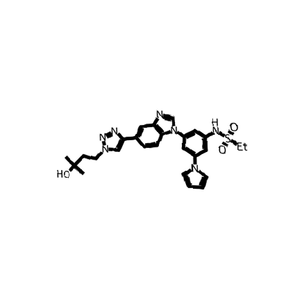 CCS(=O)(=O)Nc1cc(-n2cccc2)cc(-n2cnc3cc(-c4cn(CCC(C)(C)O)nn4)ccc32)c1